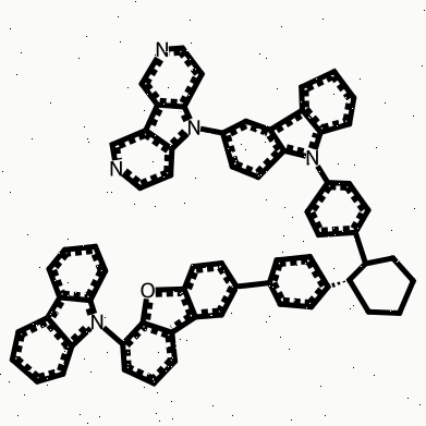 c1cc(-n2c3ccccc3c3ccccc32)c2oc3ccc(-c4ccc([C@H]5CCCCC5c5ccc(-n6c7ccccc7c7cc(-n8c9ccncc9c9cnccc98)ccc76)cc5)cc4)cc3c2c1